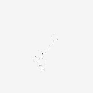 O=C(CCCCCC1CCCCC1)C(=O)N1CCC[C@H]1C(=O)O